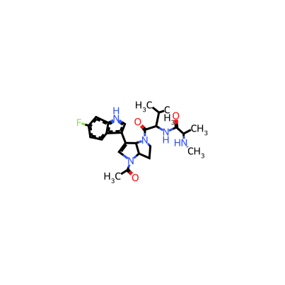 CNC(C)C(=O)NC(C(=O)N1CCC2C1C(c1c[nH]c3cc(F)ccc13)=CN2C(C)=O)C(C)C